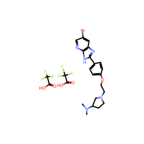 CN(C)C1CCN(CCOc2ccc(-c3nc4cc(Br)cnc4[nH]3)cc2)C1.O=C(O)C(F)(F)F.O=C(O)C(F)(F)F